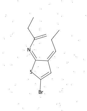 C=C(CC)/N=C1/SC(Br)=C/C1=C/CC